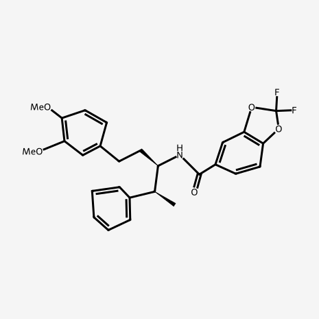 COc1ccc(CC[C@@H](NC(=O)c2ccc3c(c2)OC(F)(F)O3)[C@@H](C)c2ccccc2)cc1OC